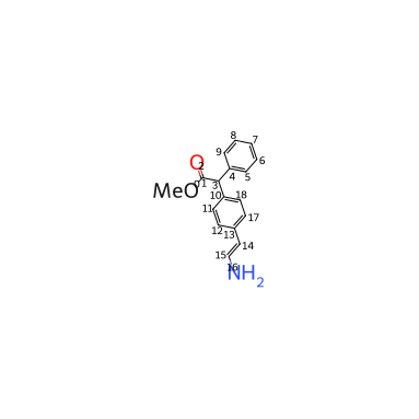 COC(=O)C(c1ccccc1)c1ccc(C=CN)cc1